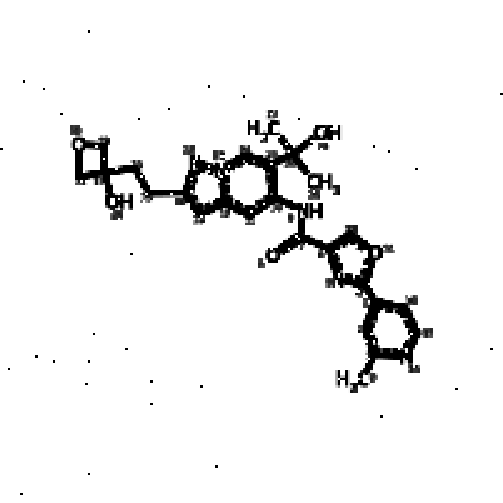 Cc1cc(-c2nc(C(=O)Nc3cc4cc(CCC5(O)COC5)nn4cc3C(C)(C)O)co2)ccn1